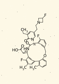 CCc1cc(CCN2CC(F)C2)cn([C@H]2C(=O)N[C@H](CC(=O)O)c3cc(cc(C)c3F)-c3c(C)cccc3OCc3ccc(F)c2c3)c1=O